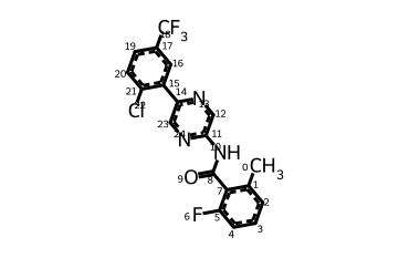 Cc1cccc(F)c1C(=O)Nc1cnc(-c2cc(C(F)(F)F)ccc2Cl)cn1